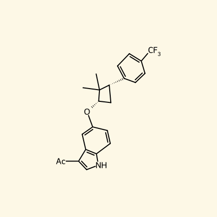 CC(=O)c1c[nH]c2ccc(O[C@H]3C[C@@H](c4ccc(C(F)(F)F)cc4)C3(C)C)cc12